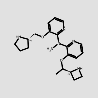 CC(Oc1cccnc1N(N)c1ncccc1OC[C@@H]1CCCN1)[C@@H]1CCN1